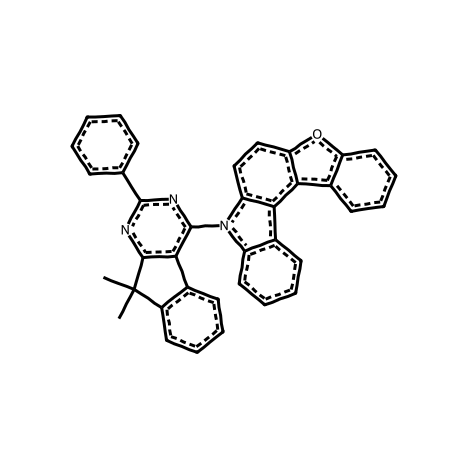 CC1(C)c2ccccc2-c2c(-n3c4ccccc4c4c5c(ccc43)oc3ccccc35)nc(-c3ccccc3)nc21